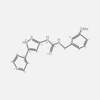 COc1cccc(CNC(=O)Nc2cc(-c3ccncc3)[nH]n2)c1